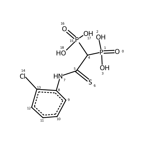 O=P(O)(O)C(C(=S)Nc1ccccc1Cl)P(=O)(O)O